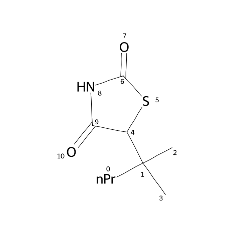 CCCC(C)(C)C1SC(=O)NC1=O